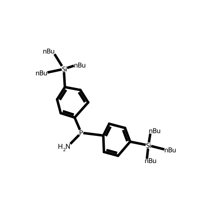 CCCC[Si](CCCC)(CCCC)c1ccc(P(N)c2ccc([Si](CCCC)(CCCC)CCCC)cc2)cc1